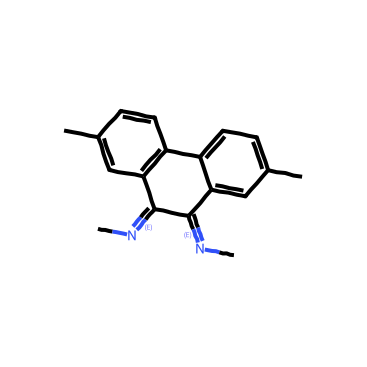 C/N=C1/C(=N/C)c2cc(C)ccc2-c2ccc(C)cc21